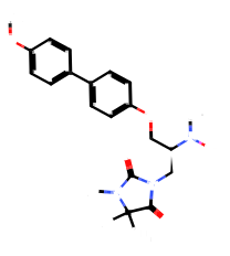 CN1C(=O)N(C[C@@H](COc2ccc(-c3ccc(OC(F)(F)F)cc3)cc2)N(O)C=O)C(=O)C1(C)C